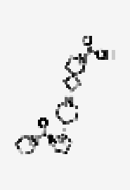 O=C(O)N1CCC2(CC(N3CCC([C@@H]4CCCN4C(=O)N4CCCC4)CC3)C2)C1